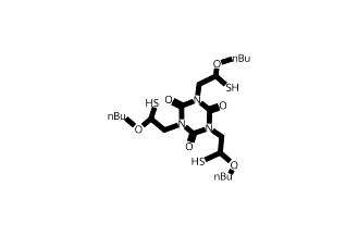 CCCCOC(S)Cn1c(=O)n(CC(S)OCCCC)c(=O)n(CC(S)OCCCC)c1=O